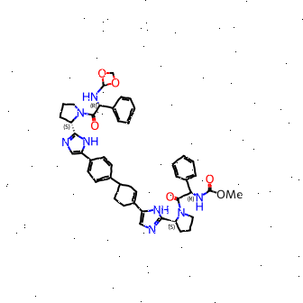 COC(=O)N[C@@H](C(=O)N1CCC[C@H]1c1ncc(C2=CCC(c3ccc(-c4cnc([C@@H]5CCCN5C(=O)[C@H](NC5OCO5)c5ccccc5)[nH]4)cc3)CC2)[nH]1)c1ccccc1